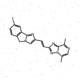 Cc1ncc(C)n2nc(/C=C/c3cn4c(n3)-c3cc(F)ccc3C4)nc12